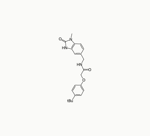 Cn1c(=O)[nH]c2cc(CNC(=O)COc3ccc(C(C)(C)C)cc3)ccc21